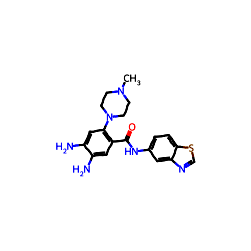 CN1CCN(c2cc(N)c(N)cc2C(=O)Nc2ccc3scnc3c2)CC1